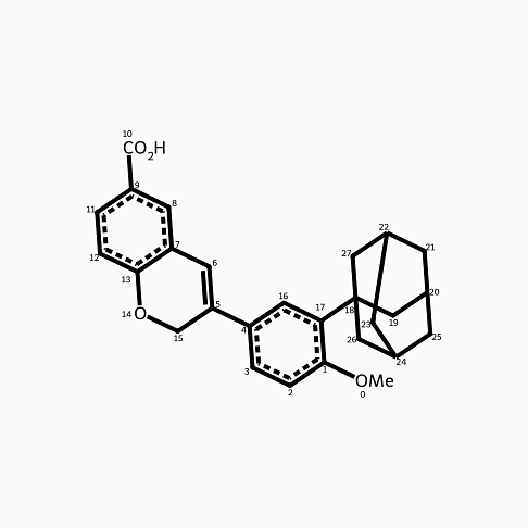 COc1ccc(C2=Cc3cc(C(=O)O)ccc3OC2)cc1C12CC3CC(CC(C3)C1)C2